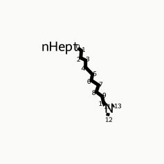 CCCCCCCCCCCCCCCC[CH]N(C)C